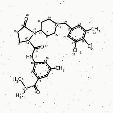 Cc1cc(C(=O)N(C)C)cc(NC(=O)[C@H]2CCC(=O)N2C2CCN(Cc3cc(C)c(Cl)c(C)c3)CC2)n1